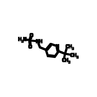 CC(C)(C)c1ccc(CNS(N)(=O)=O)cn1